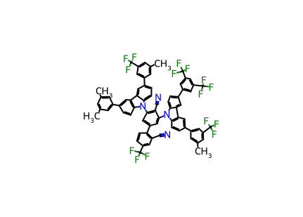 Cc1cc(C)cc(-c2ccc3c(c2)c2cc(-c4cc(C)cc(C(F)(F)F)c4)ccc2n3-c2cc(-c3ccc(C(F)(F)F)cc3C#N)cc(-n3c4ccc(-c5cc(C)cc(C(F)(F)F)c5)cc4c4cc(-c5cc(C(F)(F)F)cc(C(F)(F)F)c5)ccc43)c2C#N)c1